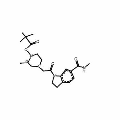 CNC(=O)c1ccc2c(c1)N(C(=O)CN1CCN(OC(=O)C(C)(C)C)[C@H](C)C1)CC2